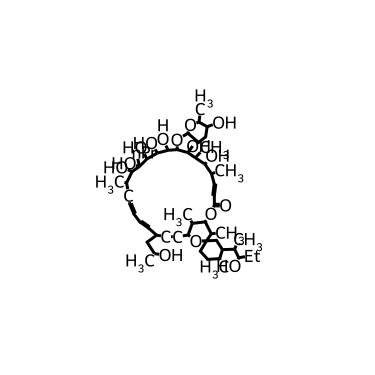 CCCC1(O)C(O)C(C)C/C=C/C=C/C(CC(C)O)CCC2OC3(CCC(C)C(C(C)C(O)CC)C3)C(C)C(OC(=O)/C=C/C(C)C(O)C(C)C(O)C(OC3CCC(O)C(C)O3)C(O)C(O)C1O)C2C